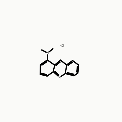 CN(C)c1cccc2nc3ccccc3cc12.Cl